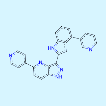 c1cncc(-c2cccc3[nH]c(-c4n[nH]c5ccc(-c6ccncc6)nc45)cc23)c1